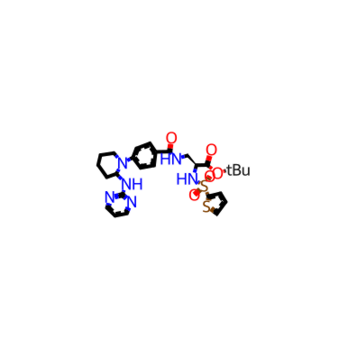 CC(C)(C)OC(=O)[C@H](CNC(=O)c1ccc(N2CCCCC2Nc2ncccn2)cc1)NS(=O)(=O)c1cccs1